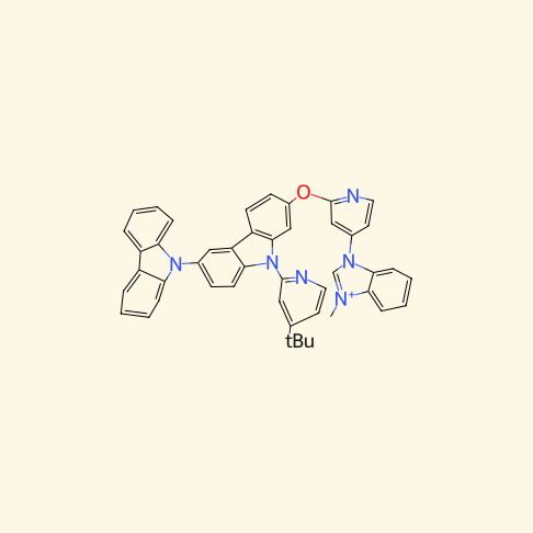 C[n+]1cn(-c2ccnc(Oc3ccc4c5cc(-n6c7ccccc7c7ccccc76)ccc5n(-c5cc(C(C)(C)C)ccn5)c4c3)c2)c2ccccc21